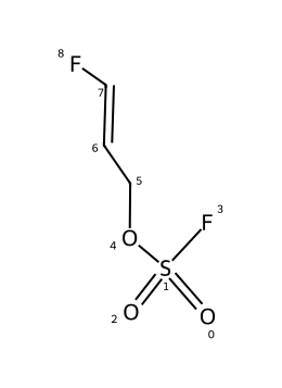 O=S(=O)(F)OCC=CF